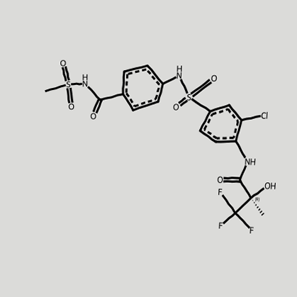 C[C@@](O)(C(=O)Nc1ccc(S(=O)(=O)Nc2ccc(C(=O)NS(C)(=O)=O)cc2)cc1Cl)C(F)(F)F